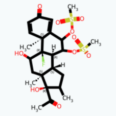 CC(=O)[C@@]1(O)C(C)C[C@H]2[C@@H]3C(OS(C)(=O)=O)C(OS(C)(=O)=O)C4=CC(=O)C=C[C@]4(C)[C@@]3(F)C(O)C[C@@]21C